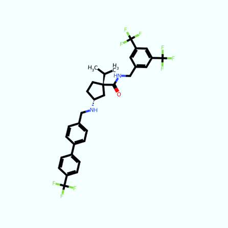 CC(C)[C@]1(C(=O)NCc2cc(C(F)(F)F)cc(C(F)(F)F)c2)CC[C@@H](NCc2ccc(-c3ccc(C(F)(F)F)cc3)cc2)C1